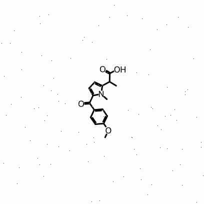 COc1ccc(C(=O)c2ccc(C(C)C(=O)O)n2C)cc1